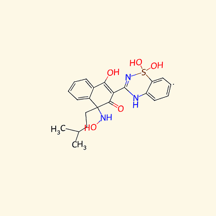 CC(C)CCC1(NO)C(=O)C(C2=NS(O)(O)c3c[c]ccc3N2)=C(O)c2ccccc21